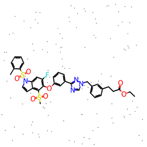 CCOC(=O)CCc1cccc(Cn2cnc(-c3cccc(Oc4c(F)cc5c(ccn5S(=O)(=O)c5ccccc5C)c4S(C)(=O)=O)c3)n2)c1